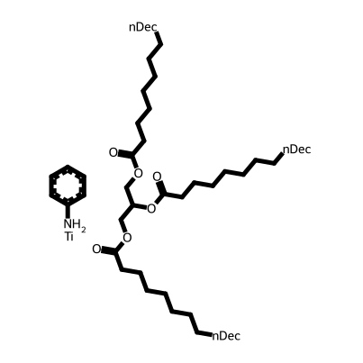 CCCCCCCCCCCCCCCCCC(=O)OCC(COC(=O)CCCCCCCCCCCCCCCCC)OC(=O)CCCCCCCCCCCCCCCCC.Nc1ccccc1.[Ti]